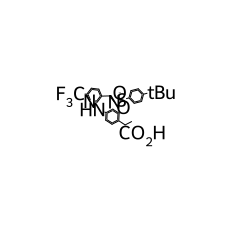 CC(C(=O)O)c1ccc2c(c1)N(S(=O)(=O)c1ccc(C(C)(C)C)cc1)Cc1ccc(C(F)(F)F)nc1N2